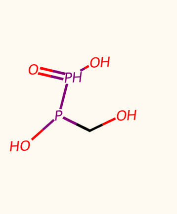 O=[PH](O)P(O)CO